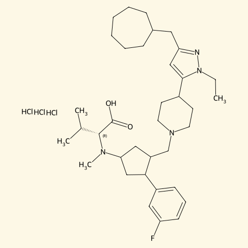 CCn1nc(CC2CCCCCC2)cc1C1CCN(CC2CC(N(C)[C@@H](C(=O)O)C(C)C)CC2c2cccc(F)c2)CC1.Cl.Cl.Cl